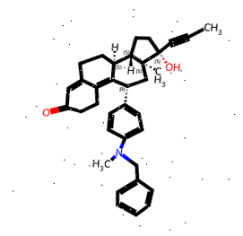 CC#C[C@]1(O)CC[C@H]2[C@@H]3CCC4=CC(=O)CCC4=C3[C@@H](c3ccc(N(C)Cc4ccccc4)cc3)C[C@@]21C